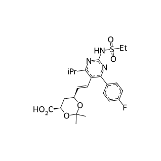 CCS(=O)(=O)Nc1nc(-c2ccc(F)cc2)c(/C=C/[C@@H]2C[C@H](C(=O)O)OC(C)(C)O2)c(C(C)C)n1